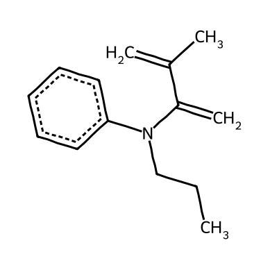 C=C(C)C(=C)N(CCC)c1ccccc1